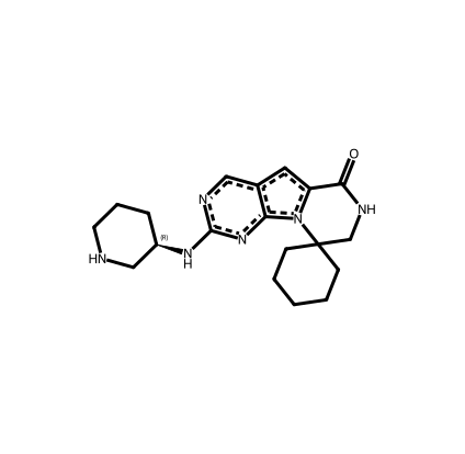 O=C1NCC2(CCCCC2)n2c1cc1cnc(N[C@@H]3CCCNC3)nc12